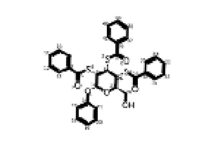 O=C(S[C@H]1[C@@H](SC(=O)c2ccccc2)[C@@H](Oc2ccccc2)O[C@H](CO)[C@H]1SC(=O)c1ccccc1)c1ccccc1